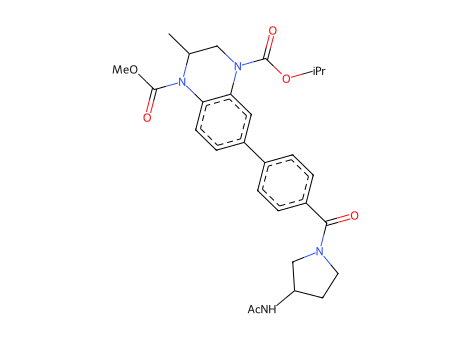 COC(=O)N1c2ccc(-c3ccc(C(=O)N4CCC(NC(C)=O)C4)cc3)cc2N(C(=O)OC(C)C)CC1C